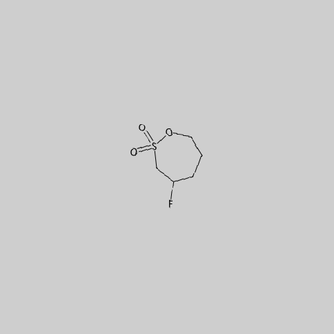 O=S1(=O)CC(F)CCCO1